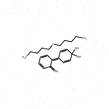 CCCCCOCCCCC.OC1(O)C=CC(=C2C=CC=CC2=P)C=C1